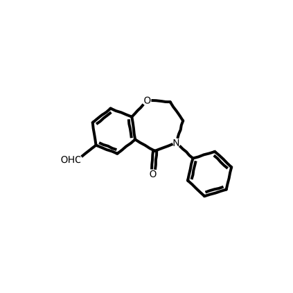 O=Cc1ccc2c(c1)C(=O)N(c1ccccc1)CCO2